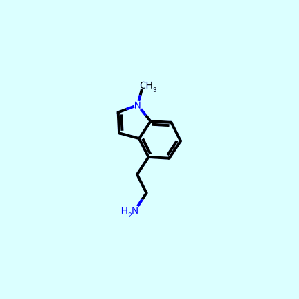 Cn1ccc2c(CCN)cccc21